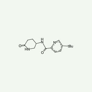 CC(C)(C)c1ccc(C(=O)NC2CCC(=O)NC2)nc1